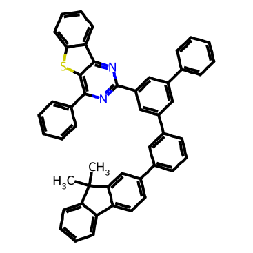 CC1(C)c2ccccc2-c2ccc(-c3cccc(-c4cc(-c5ccccc5)cc(-c5nc(-c6ccccc6)c6sc7ccccc7c6n5)c4)c3)cc21